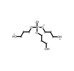 CC[N+](OCCCO)(OCCCO)OCCCO